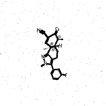 C[C@@H]1C(=O)C(C#N)=C[C@]2(C)c3nn(C)c(-c4cccc(F)c4)c3CC[C@@H]12